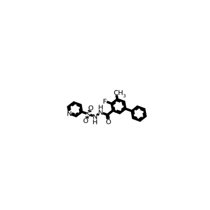 Cc1cc(-c2ccccc2)cc(C(=O)NNS(=O)(=O)c2cccnc2)c1F